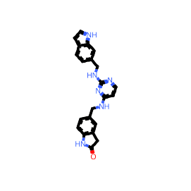 O=C1Cc2cc(CNc3ccnc(NCc4ccc5cc[nH]c5c4)n3)ccc2N1